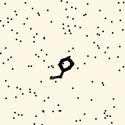 CC(=O)Oc1[c]cncc1